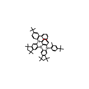 Cc1cc2c3c(c1)N(c1ccc(C(C)(C)C)cc1-c1ccccc1)c1cc4c(cc1B3c1cc3c(cc1N2c1ccc(C(C)(C)C)cc1C)C(C)(C)CC3(C)C)C(C)(C)CC4(C)C